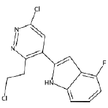 Fc1cccc2[nH]c(-c3cc(Cl)nnc3CCCl)cc12